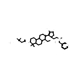 CC(C)C1=C2[C@H]3CC[C@@H]4[C@@]5(C)CC[C@H](OC(=O)CC(C)(C)C(=O)O)C(C)(C)[C@@H]5CC[C@@]4(C)[C@]3(C)CC[C@@]2([C@@H](O)CN(C)Cc2cccnc2)CC1=O